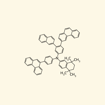 CC1(C)CCC(C)(C)c2cc(N(c3ccc(-c4cc5ccccc5c5ccccc45)cc3)c3ccc(-c4ccc5ccc6ccccc6c5c4)c(-c4ccc5ccccc5c4)c3)ccc21